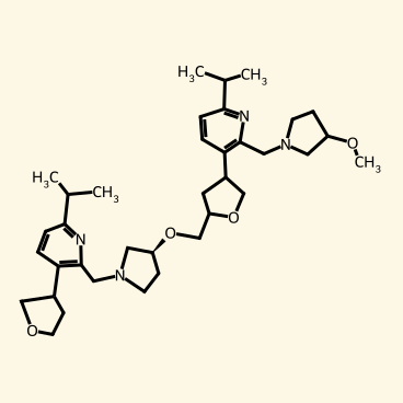 COC1CCN(Cc2nc(C(C)C)ccc2C2COC(CO[C@H]3CCN(Cc4nc(C(C)C)ccc4C4CCOC4)C3)C2)C1